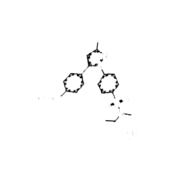 CCCCCc1ccc(-c2cc(C(F)(F)F)nn2-c2ccc(S(=O)(=O)N(C)[C@@H](C)C(=O)O)cc2)cc1